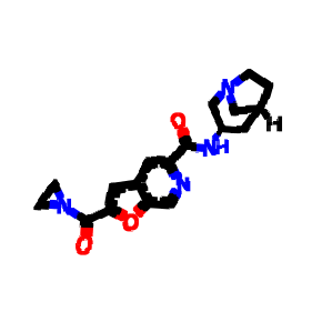 O=C(N[C@@H]1C[C@H]2CCN(C2)C1)c1cc2cc(C(=O)N3CC3)oc2cn1